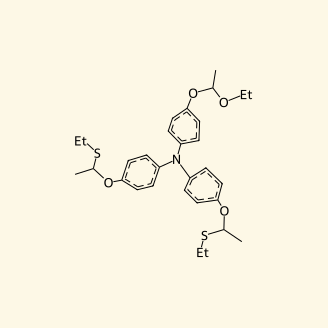 CCOC(C)Oc1ccc(N(c2ccc(OC(C)SCC)cc2)c2ccc(OC(C)SCC)cc2)cc1